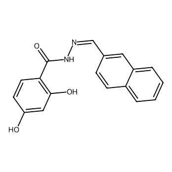 O=C(N/N=C\c1ccc2ccccc2c1)c1ccc(O)cc1O